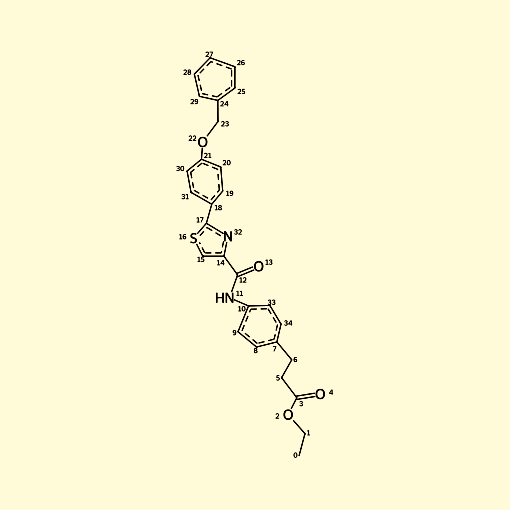 CCOC(=O)CCc1ccc(NC(=O)c2csc(-c3ccc(OCc4ccccc4)cc3)n2)cc1